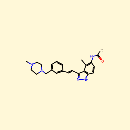 CCC(=O)Nc1ccc2[nH]nc(C=Cc3cccc(CN4CCN(C)CC4)c3)c2c1C